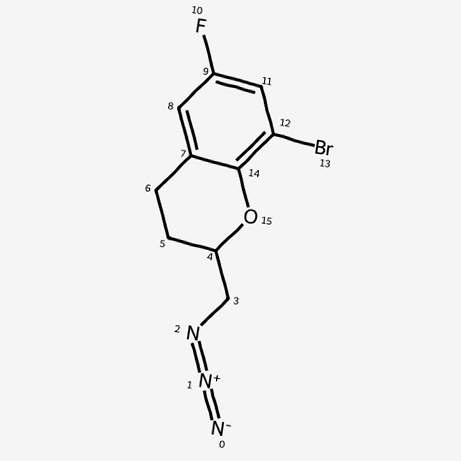 [N-]=[N+]=NCC1CCc2cc(F)cc(Br)c2O1